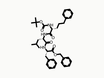 CC(C)C[C@H](NC(=O)[C@@H](CCCc1ccccc1)NC(=O)OC(C)(C)C)C(=O)N[C@@H](Cc1ccccc1)C(=O)OCc1ccccc1